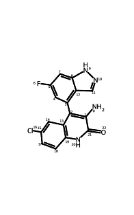 Nc1c(-c2cc(F)cc3[nH]ncc23)c2cc(Cl)ccc2[nH]c1=O